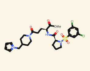 COC(=O)[C@H](CCC(=O)N1CCC(Cn2cccc2)CC1)NC(=O)[C@@H]1CCCN1S(=O)(=O)c1cc(Cl)cc(Cl)c1